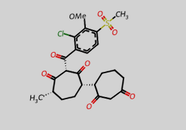 COc1c(S(C)(=O)=O)ccc(C(=O)[C@@H]2C(=O)[C@H](C3CCCC(=O)CC3=O)CC[C@H](C)C2=O)c1Cl